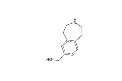 OCc1ccc2c(c1)CCNCC2